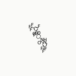 O=C(N[C@H]1CC[C@](F)(S(=O)(=O)c2cc(F)cc(C(F)(F)F)c2)CC1)c1cc(C(F)(F)F)ccn1